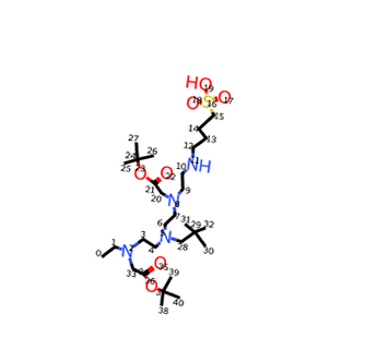 CCN(CCN(CCN(CCNCCCCS(=O)(=O)O)CC(=O)OC(C)(C)C)CC(C)(C)C)CC(=O)OC(C)(C)C